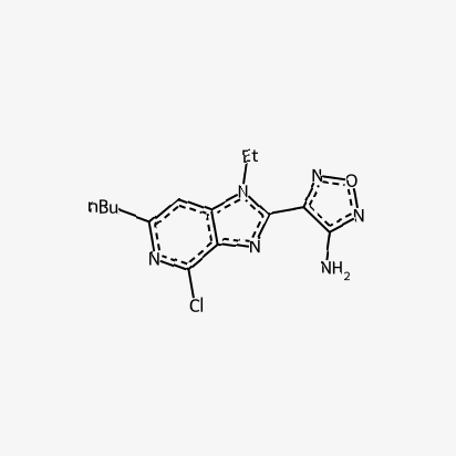 CCCCc1cc2c(nc(-c3nonc3N)n2CC)c(Cl)n1